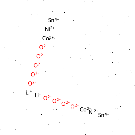 [Co+2].[Co+2].[Li+].[Li+].[Ni+2].[Ni+2].[O-2].[O-2].[O-2].[O-2].[O-2].[O-2].[O-2].[O-2].[O-2].[Sn+4].[Sn+4]